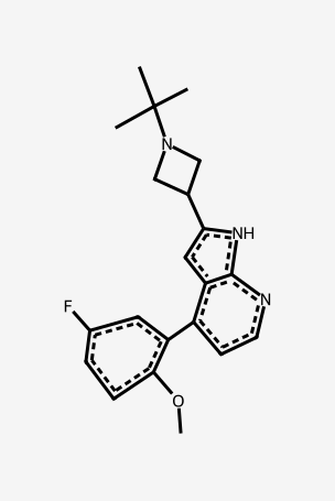 COc1ccc(F)cc1-c1ccnc2[nH]c(C3CN(C(C)(C)C)C3)cc12